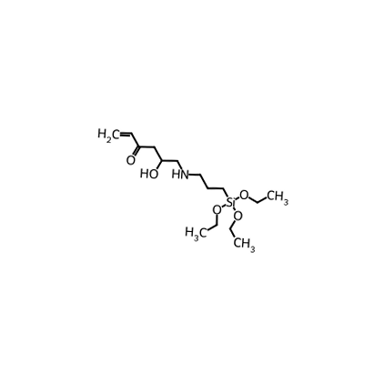 C=CC(=O)CC(O)CNCCC[Si](OCC)(OCC)OCC